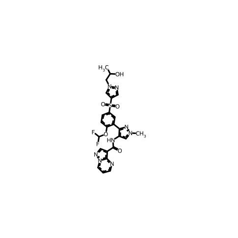 CC(O)Cn1cc(S(=O)(=O)c2ccc(OC(F)F)c(-c3nn(C)cc3NC(=O)c3cnn4cccnc34)c2)cn1